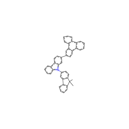 CC1(C)c2ccccc2-c2cc(-n3c4ccccc4c4ccc(-c5ccc6c7ccccc7c7ccccc7c6c5)cc43)ccc21